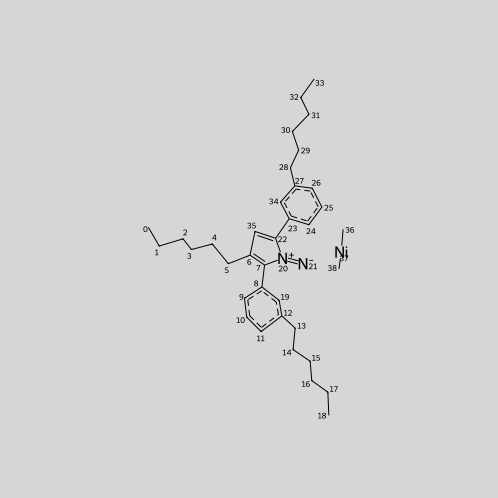 CCCCCCC1=C(c2cccc(CCCCCC)c2)[N+](=[N-])C(c2cccc(CCCCCC)c2)=C1.[CH3][Ni][CH3]